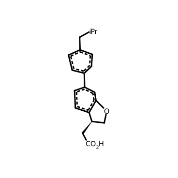 CC(C)Cc1ccc(-c2ccc3c(c2)OC[C@H]3CC(=O)O)cc1